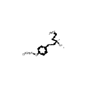 CCCCCCCOc1ccc(CC[C@](C)(N)CCS)cc1